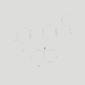 Cc1nnnn1-c1cc(Nc2ncc(F)c(N[C@@H]3C[C@@H]4CCCN4C(C)(C)C3)n2)ccc1F